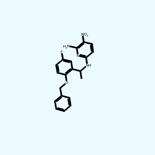 CC(Nc1ccc([N+](=O)[O-])c(N)n1)c1cc(F)ccc1OCc1ccccc1